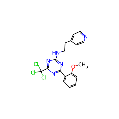 COc1ccccc1-c1nc(NCCc2ccncc2)nc(C(Cl)(Cl)Cl)n1